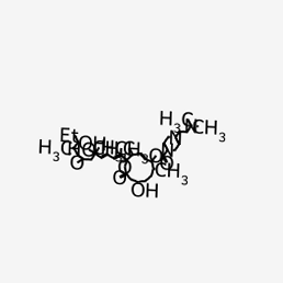 CCC(O)C(C)C1OC1CC(C)(O)/C=C/C=C(\C)C1OC(=O)CC(O)CCC(C)C(OC(=O)N2CCN(CCN(C)C)CC2)/C=C/C1C